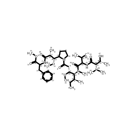 CC[C@H](C)[C@@H]([C@@H](CC(=O)N1CCCC1[C@H](OC)[C@@H](C)C(=O)NC(Cc1ccccc1)C(=O)OC)OC)N(C)C(=O)C(NC(=O)[C@H]([C@@H](C)O)N(C)C)C(C)C